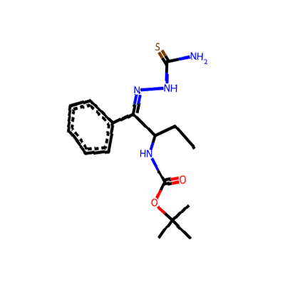 CCC(NC(=O)OC(C)(C)C)C(=NNC(N)=S)c1ccccc1